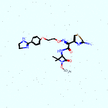 CC1(C)C(NC(=O)/C(=N\OCCOc2ccc(C3=NCCN3)cc2)c2csc(N)n2)C(=O)N1OS(=O)(=O)O